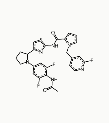 CC(=O)Nc1c(F)cc(N2CCCC2c2csc(NC(=O)c3cccn3Cc3ccnc(F)c3)n2)cc1F